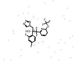 O[C@@](Cn1cnnn1)(c1ccc(F)cc1F)C(F)(F)C1=NC(OC(F)(F)F)CC=C1